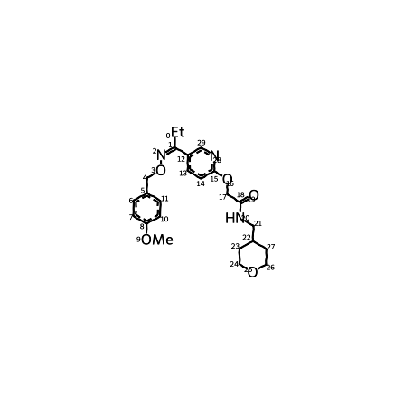 CCC(=NOCc1ccc(OC)cc1)c1ccc(OCC(=O)NCC2CCOCC2)nc1